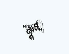 CCN(c1nc(C)c2c(n1)N(Cc1cccnc1)CCCC2)c1c(C)cc(C)cc1C